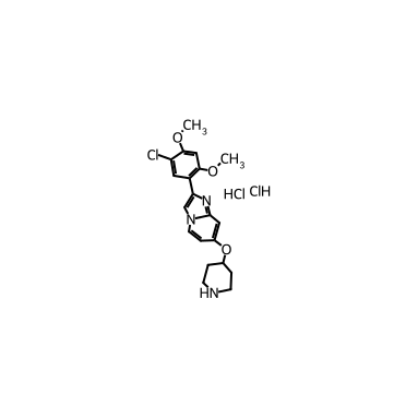 COc1cc(OC)c(-c2cn3ccc(OC4CCNCC4)cc3n2)cc1Cl.Cl.Cl